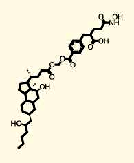 CCCC[C@@H](O)C[C@H]1CCC2C(C1)C[C@H](O)[C@@]1(C)C2CCC1[C@H](C)CCC(=O)OCOC(=O)c1ccc(CC(CCC(=O)NO)C(=O)O)cc1